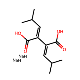 CC(C)C=C(C(=O)O)C(=CC(C)C)C(=O)O.[NaH].[NaH]